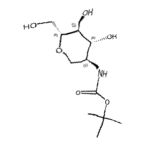 CC(C)(C)OC(=O)N[C@H]1CO[C@H](CO)[C@@H](O)[C@@H]1O